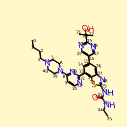 CCCCN1CCN(c2ccnc(-c3cc(-c4cnc(C(C)(C)O)nc4)cc4nc(NC(=O)NCC)sc34)n2)CC1